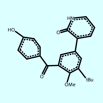 COc1c(C(=O)c2ccc(O)cc2)cc(-c2ccc[nH]c2=O)cc1C(C)(C)C